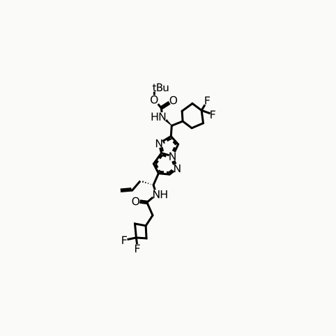 C=CC[C@@H](NC(=O)CC1CC(F)(F)C1)c1cnn2cc([C@@H](NC(=O)OC(C)(C)C)C3CCC(F)(F)CC3)nc2c1